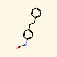 O=C=Nc1ccc(CCc2ccccc2)cc1